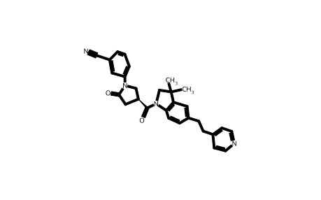 CC1(C)CN(C(=O)[C@H]2CC(=O)N(c3cccc(C#N)c3)C2)c2ccc(CCc3ccncc3)cc21